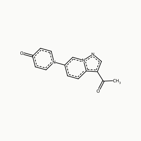 CC(=O)c1cnn2cc(-n3ccc(=O)cc3)ccc12